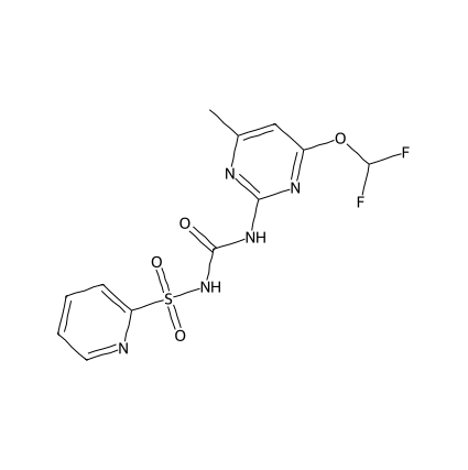 Cc1cc(OC(F)F)nc(NC(=O)NS(=O)(=O)c2ccccn2)n1